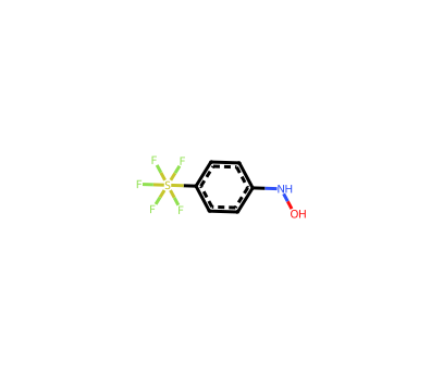 ONc1ccc(S(F)(F)(F)(F)F)cc1